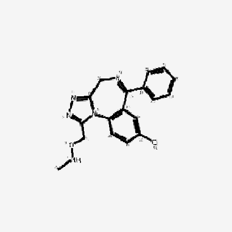 CNOCc1nnc2n1-c1ccc(Cl)cc1C(c1ccccc1)=NC2